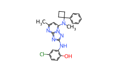 Cc1cc(N(C)C2(c3ccccc3)CCC2)n2nc(Nc3cc(Cl)ccc3O)nc2n1